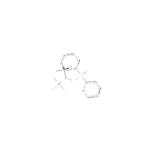 CC(C)(C)C(OP(=O)(c1ccccc1)c1ccccc1)C(C)(C)C